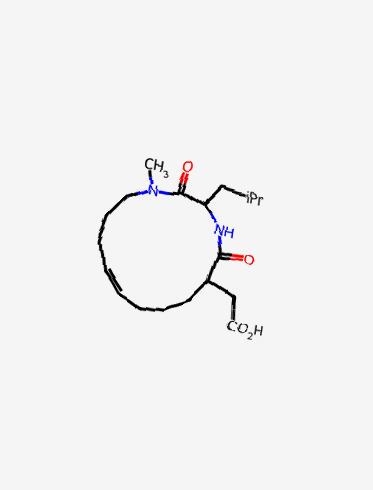 CC(C)CC1NC(=O)C(CC(=O)O)CCCC=CCCCN(C)C1=O